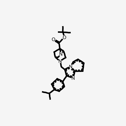 CC(C)c1ccc(-c2nc3ccccn3c2CN2CC3CCC2CN3C(=O)OC(C)(C)C)cc1